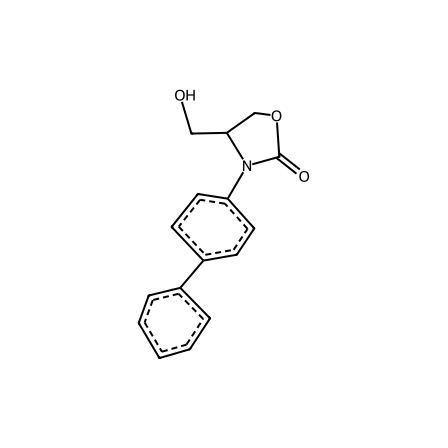 O=C1OCC(CO)N1c1ccc(-c2ccccc2)cc1